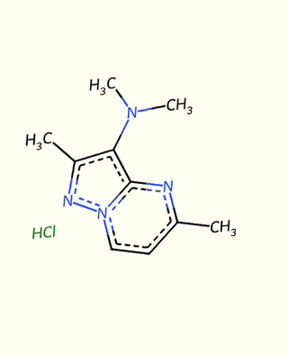 Cc1ccn2nc(C)c(N(C)C)c2n1.Cl